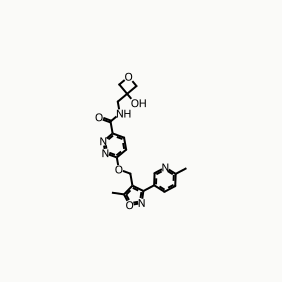 Cc1ccc(-c2noc(C)c2COc2ccc(C(=O)NCC3(O)COC3)nn2)cn1